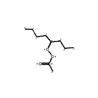 CCCCC(CCC)OOC(C)=O